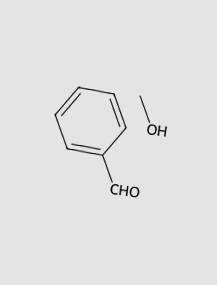 CO.O=Cc1ccccc1